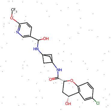 O=C(NC12CC(NC(O)c3ccc(OC(F)(F)F)nc3)(C1)C2)[C@H]1C[C@@H](O)c2cc(Cl)ccc2O1